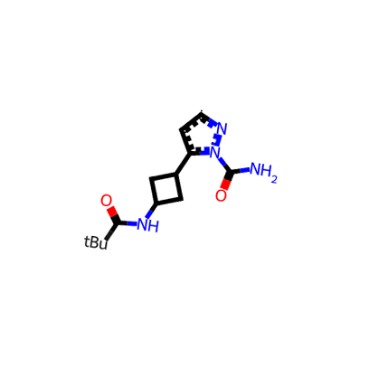 CC(C)(C)C(=O)NC1CC(c2c[c]nn2C(N)=O)C1